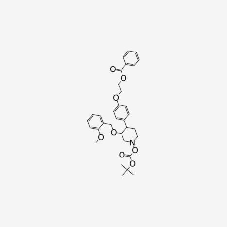 COc1ccccc1COC1CN(OC(=O)OC(C)(C)C)CCC1c1ccc(OCCOC(=O)c2ccccc2)cc1